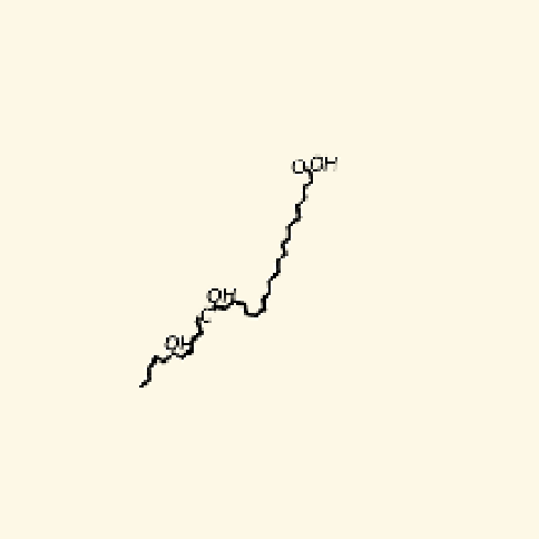 CC/C=C\C[C@H](O)/C=C\C=C\C=C=C(O)C/C=C\C/C=C\CCCCCCCCCCCCCCC(=O)O